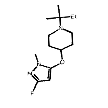 CCC(C)(C)N1CCC(Oc2cc(F)nn2C)CC1